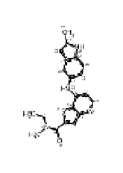 CCN(C)C(=O)c1cc2nccc(Nc3ccc4[nH]c(C)cc4c3)c2s1